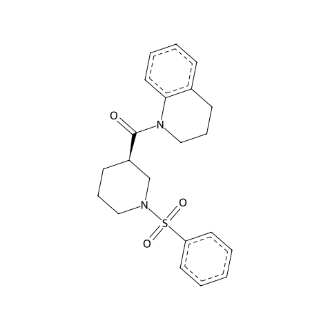 O=C([C@@H]1CCCN(S(=O)(=O)c2ccccc2)C1)N1CCCc2ccccc21